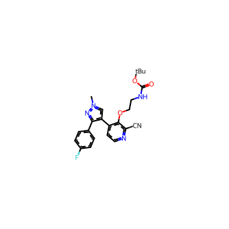 Cn1cc(-c2ccnc(C#N)c2OCCNC(=O)OC(C)(C)C)c(-c2ccc(F)cc2)n1